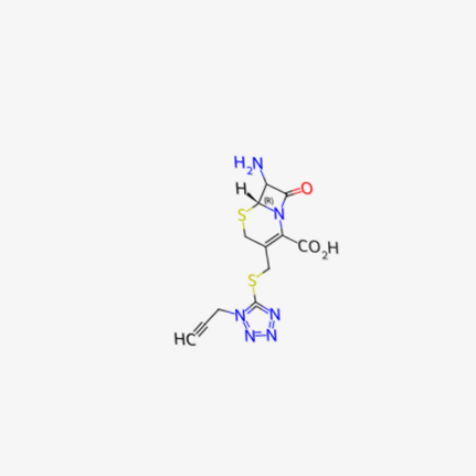 C#CCn1nnnc1SCC1=C(C(=O)O)N2C(=O)C(N)[C@H]2SC1